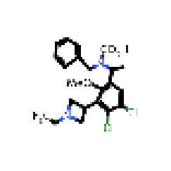 COc1c(C(C)N(Cc2ccccc2)C(=O)O)cc(Cl)c(Cl)c1C1CN(CC(F)(F)F)C1